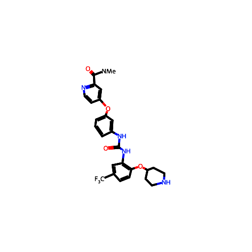 CNC(=O)c1cc(Oc2cccc(NC(=O)Nc3cc(C(F)(F)F)ccc3OC3CCNCC3)c2)ccn1